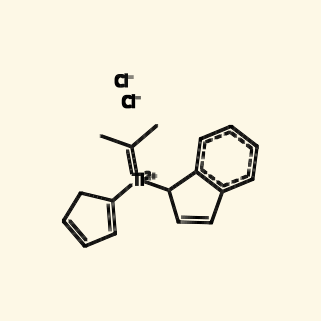 C[C](C)=[Ti+2]([C]1=CC=CC1)[CH]1C=Cc2ccccc21.[Cl-].[Cl-]